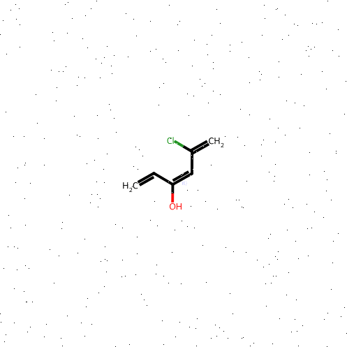 C=C/C(O)=C\C(=C)Cl